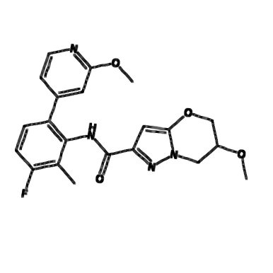 COc1cc(-c2ccc(F)c(C)c2NC(=O)c2cc3n(n2)CC(OC)CO3)ccn1